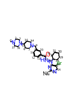 CN1CCN(C2CCN(Cc3cccc(C(=O)NN(c4nc(C#N)ncc4Br)C4CCCCC4)c3)CC2)CC1